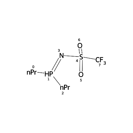 CCC[PH](CCC)=NS(=O)(=O)C(F)(F)F